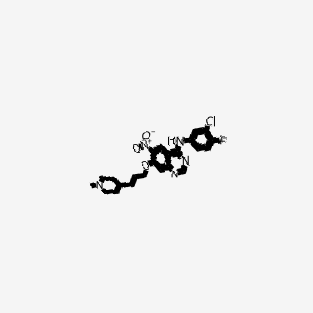 CN1CCC(CCCOc2cc3ncnc(Nc4ccc(F)c(Cl)c4)c3cc2[N+](=O)[O-])CC1